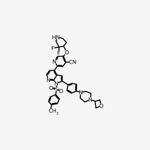 Cc1ccc(S(=O)(=O)n2c(-c3ccc(N4CCN(C5COC5)CC4)cc3)cc3c(-c4cc(C#N)c(OC5CCNCC5(F)F)cn4)ccnc32)cc1